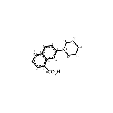 O=C(O)c1ccnc2ccc(N3CCCSC3)cc12